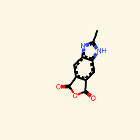 Cc1nc2cc3c(cc2[nH]1)C(=O)OC3=O